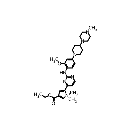 CCOC(=O)C1=C[N+](C)(C)C(c2ccnc(Nc3ccc(N4CCC(N5CCN(C)CC5)CC4)cc3OC)n2)=C1